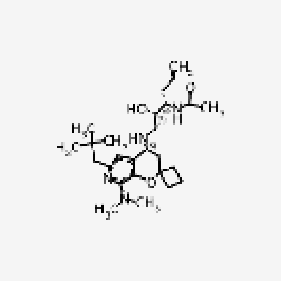 C=CC[C@H](NC(C)=O)[C@H](O)CN[C@H]1CC2(CCC2)Oc2c1cc(CC(C)(C)C)nc2N(C)C